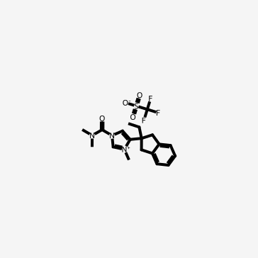 CCC1(c2cn(C(=O)N(C)C)c[n+]2C)Cc2ccccc2C1.O=S(=O)([O-])C(F)(F)F